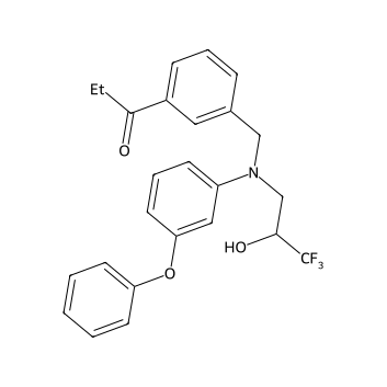 CCC(=O)c1cccc(CN(CC(O)C(F)(F)F)c2cccc(Oc3ccccc3)c2)c1